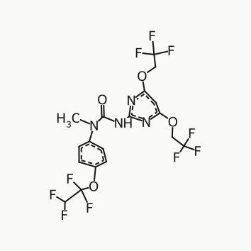 CN(C(=O)Nc1nc(OCC(F)(F)F)cc(OCC(F)(F)F)n1)c1ccc(OC(F)(F)C(F)F)cc1